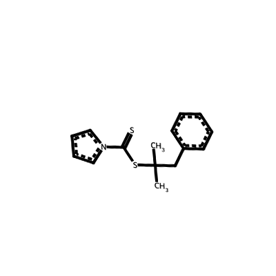 CC(C)(Cc1ccccc1)SC(=S)n1cccc1